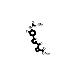 COC(=O)C1CCC1C(=O)c1ccc(-c2ccc(NC(=O)OC(C)(C)C)c(F)c2)s1